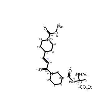 CCOC(=O)[C@@](C)(NC(C)=O)NC(=O)[C@@H]1CCCN(C(=O)/C=C/C2CCN(C(=O)OC(C)(C)C)CC2)C1